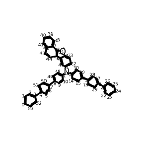 c1ccc(-c2ccc(-c3ccc(N(c4ccc(-c5ccc(-c6ccccc6)cc5)cc4)c4ccc5oc6c7ccccc7ccc6c5c4)cc3)cc2)cc1